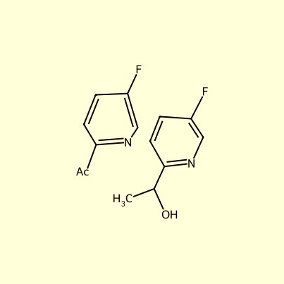 CC(=O)c1ccc(F)cn1.CC(O)c1ccc(F)cn1